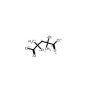 CCC(C)(CC(C)(CC)C(=O)Cl)C(=O)Cl